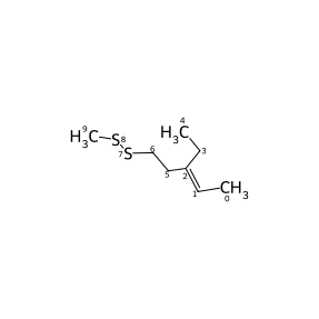 C/C=C(\CC)CCSSC